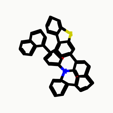 c1ccc(-c2ccccc2N(c2ccc(-c3cccc4ccccc34)cc2)c2ccccc2-c2ccc3c(c2)sc2ccccc23)cc1